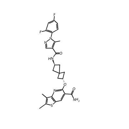 Cc1sc2cc(C(N)=O)c(O[C@H]3CC4(C[C@H](NC(=O)c5cnn(-c6ccc(F)cc6F)c5C)C4)C3)nc2c1C